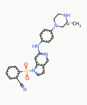 C[C@@H]1CN(c2ccc(Nc3cc4c(ccn4S(=O)(=O)c4ccccc4C#N)cn3)cc2)CCN1